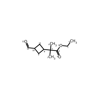 CCOC(=O)C(C)(C)C1CC(C=O)C1